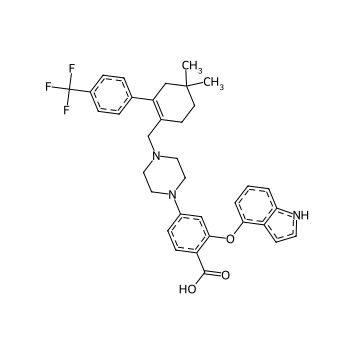 CC1(C)CCC(CN2CCN(c3ccc(C(=O)O)c(Oc4cccc5[nH]ccc45)c3)CC2)=C(c2ccc(C(F)(F)F)cc2)C1